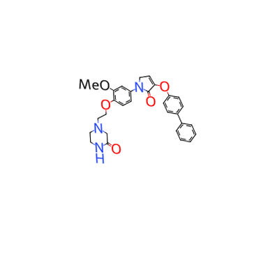 COc1cc(N2CC=C(Oc3ccc(-c4ccccc4)cc3)C2=O)ccc1OCCN1CCNC(=O)C1